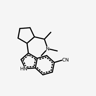 CC(C1CCCC1c1c[nH]c2ccc(C#N)cc12)N(C)C